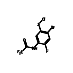 O=C(Nc1cc(SCl)c(Br)cc1F)C(F)(F)F